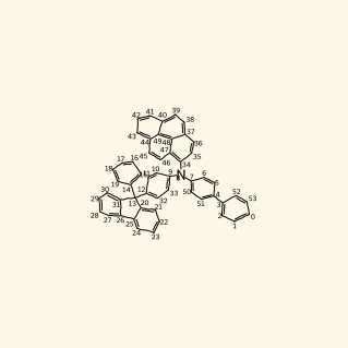 c1ccc(-c2ccc(N(c3ccc(C4(c5ccccc5)c5ccccc5-c5ccccc54)cc3)c3ccc4ccc5cccc6ccc3c4c56)cc2)cc1